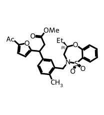 CC[C@@H]1CN(Cc2cc(C(CC(=O)OC)c3ccc(C(C)=O)o3)ccc2C)S(=O)(=O)c2ccccc2O1